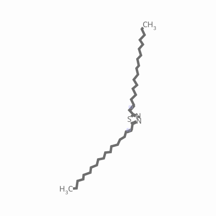 CCCCCCCCCCCCCCCC/C=C/c1nnc(/C=C/CCCCCCCCCCCCCCCC)s1